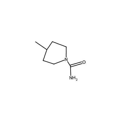 CC1CCN(C(N)=O)CC1